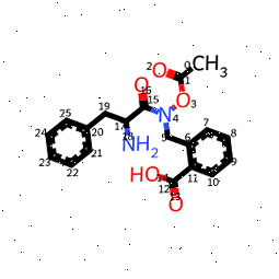 CC(=O)ON(Cc1ccccc1C(=O)O)C(=O)C(N)Cc1ccccc1